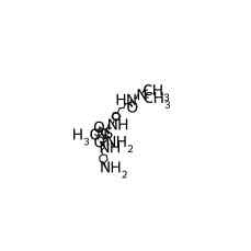 CCN(CC)CCNC(=O)CCCc1ccc(NC[C@H]2SC([C@H](N)C(=O)NCC3CCC(N)CC3)N(CC)C2=O)cc1